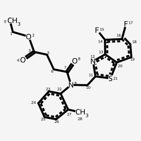 CCOC(=O)CCC(=O)N(Cc1nc2c(F)c(F)ccc2s1)c1ccccc1C